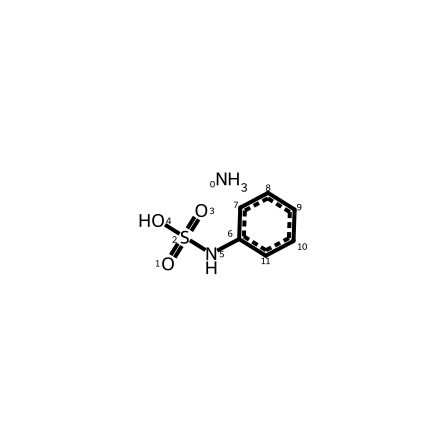 N.O=S(=O)(O)Nc1ccccc1